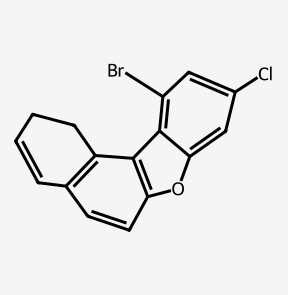 Clc1cc(Br)c2c(c1)oc1ccc3c(c12)CCC=C3